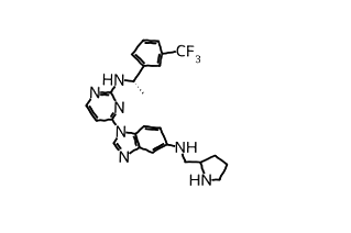 C[C@H](Nc1nccc(-n2cnc3cc(NCC4CCCN4)ccc32)n1)c1cccc(C(F)(F)F)c1